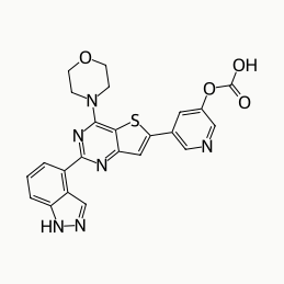 O=C(O)Oc1cncc(-c2cc3nc(-c4cccc5[nH]ncc45)nc(N4CCOCC4)c3s2)c1